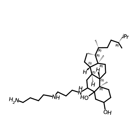 CC(C)[C@H](C)CC[C@@H](C)[C@H]1CC[C@H]2[C@@H]3CC(NCCCNCCCCN)C4(O)CC(O)CC[C@]4(C)[C@H]3CC[C@]12C